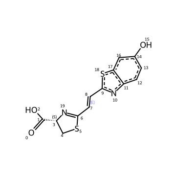 O=C(O)[C@H]1CSC(/C=C/c2nc3ccc(O)cc3s2)=N1